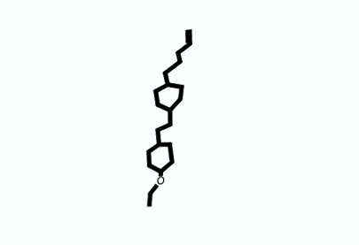 C=CCCCC1CCC(CCC2CCC(OCC)CC2)CC1